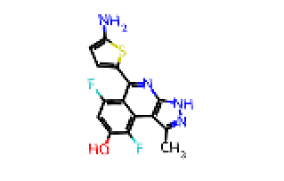 Cc1n[nH]c2nc(-c3ccc(N)s3)c3c(F)cc(O)c(F)c3c12